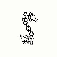 CC(C)(C)OC(=O)N1CCC[C@H]1c1nc2ccc(N3CCN(c4ccc5nc([C@@H]6CCCN6C(=O)OC(C)(C)C)n(COCC[Si](C)(C)C)c5c4)CC3)cc2n1COCC[Si](C)(C)C